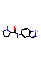 O=C(Nc1ccc2[nH]ncc2c1)C1CCCN1